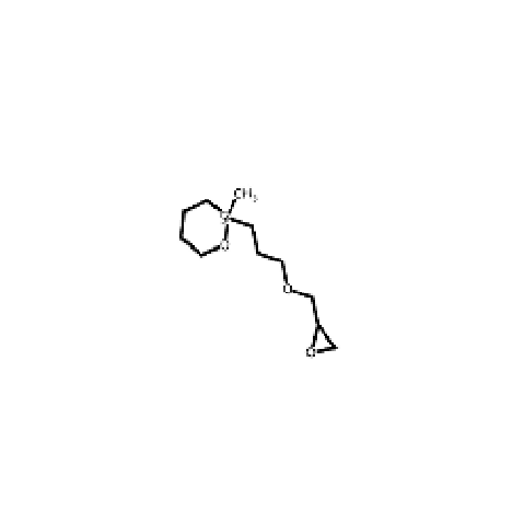 C[Si]1(CCCOCC2CO2)CCCCO1